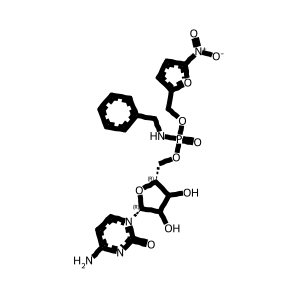 Nc1ccn([C@@H]2O[C@H](COP(=O)(NCc3ccccc3)OCc3ccc([N+](=O)[O-])o3)C(O)C2O)c(=O)n1